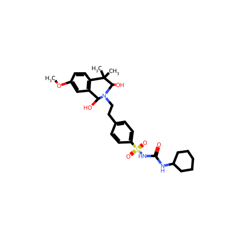 COc1ccc2c(c1)C(O)N(CCc1ccc(S(=O)(=O)NC(=O)NC3CCCCC3)cc1)C(O)C2(C)C